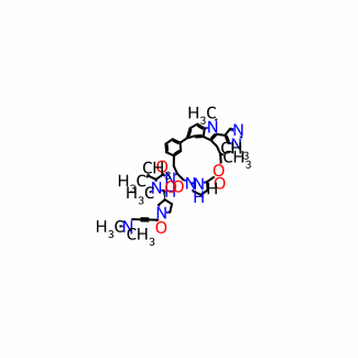 CCn1c(-c2cncnc2)c2c3cc(ccc31)-c1cccc(c1)C[C@H](NC(=O)C(C(C)C)N(C)C(=O)[C@H]1CCN(C(=O)C#CCN(C)C)C1)C(=O)N1CCC[C@H](N1)C(=O)OCC(C)(C)C2